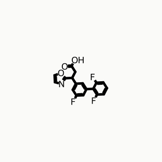 O=C(O)CC(c1cc(F)cc(-c2c(F)cccc2F)c1)c1ncco1